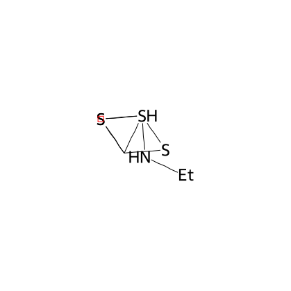 CCN[SH]123SC1(S2)S3